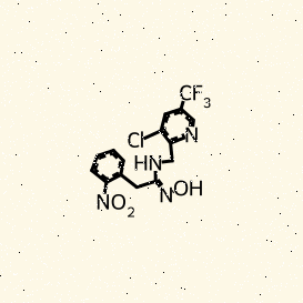 O=[N+]([O-])c1ccccc1CC(=NO)NCc1ncc(C(F)(F)F)cc1Cl